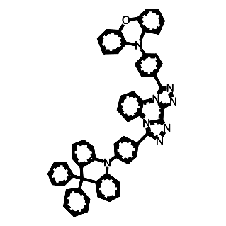 c1ccc(C2(c3ccccc3)c3ccccc3N(c3ccc(-c4nnc5c6nnc(-c7ccc(N8c9ccccc9Oc9ccccc98)cc7)n6c6ccccc6n45)cc3)c3ccccc32)cc1